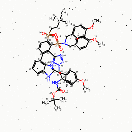 COc1ccc(CN(Cc2ccc(OC)cc2)S(=O)(=O)c2c(S(=O)(=O)CC[Si](C)(C)C)ccc(-c3cccc4[nH]c(CC(C)NC(=O)OC(C)(C)C)nc34)c2-c2nnn(Cc3ccc(OC)cc3)n2)cc1